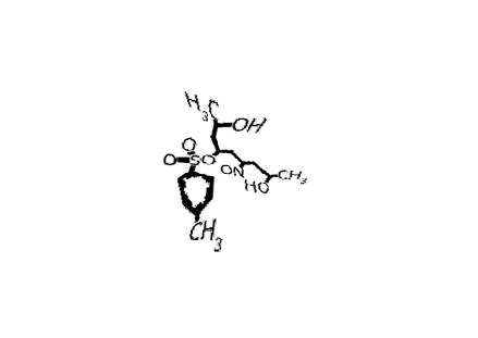 Cc1ccc(S(=O)(=O)OC(CC(C)O)CC(CC(C)O)N=O)cc1